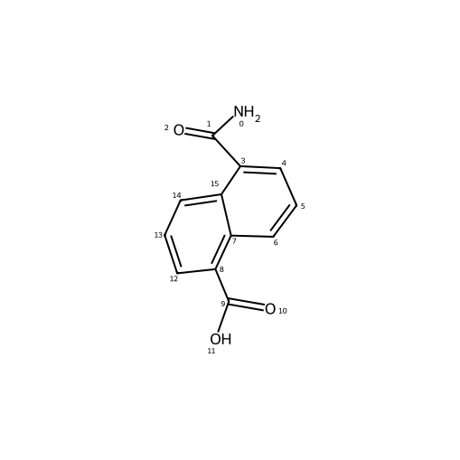 NC(=O)c1cccc2c(C(=O)O)cccc12